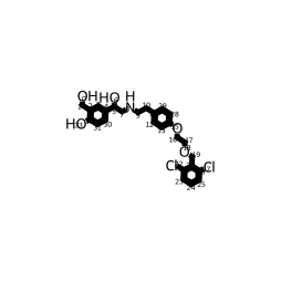 OCc1cc(C(O)CNCCc2ccc(OCCOCc3c(Cl)cccc3Cl)cc2)ccc1O